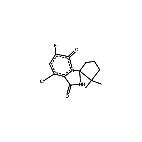 CC1(C)CCCC12NC(=O)c1c(Cl)cc(Br)c(=O)n12